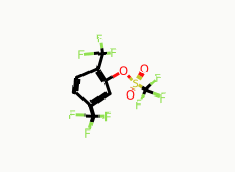 O=S(=O)(Oc1cc(C(F)(F)F)ccc1C(F)(F)F)C(F)(F)F